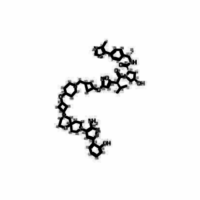 Cc1ncsc1-c1ccc([C@H](C)NC(=O)[C@@H]2C[C@@H](O)CN2C(=O)[C@H](c2cc(OC3CC(CN4CCC(OC5CC(N6CCOC7(CCN(c8cc(-c9ccccc9O)nnc8N)CC7)C6)C5)CC4)C3)no2)C(C)C)cc1